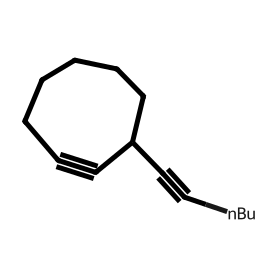 CCCCC#CC1C#CCCCCC1